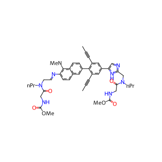 CC#Cc1cc(-c2cnc(CN(CCC)C(=O)CNC(=O)OC)[nH]2)cc(C#CC)c1-c1ccc2c(NC)c(/N=C/CN(CCC)C(=O)CNC(=O)OC)ccc2c1